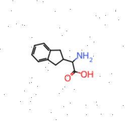 NC(C(=O)O)C1Cc2ccccc2C1